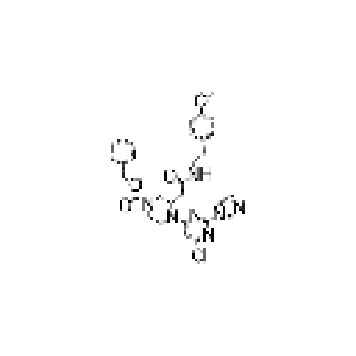 COc1ccc(CCNC(=O)CC2CN(C(=O)OCc3ccccc3)CCN2c2cc(Cl)nc(-n3ccnc3)n2)cc1